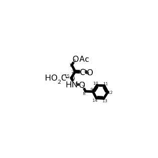 CC(=O)OCC(=C=O)[C@H](NOCc1ccccc1)C(=O)O